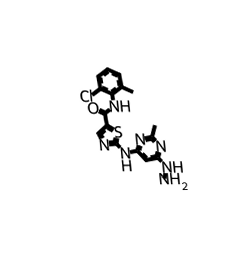 Cc1nc(NN)cc(Nc2ncc(C(=O)Nc3c(C)cccc3Cl)s2)n1